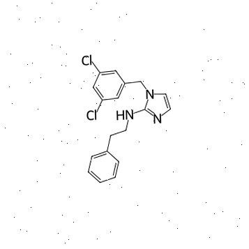 Clc1cc(Cl)cc(Cn2ccnc2NCCc2ccccc2)c1